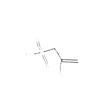 C=C(Cl)CS(=O)(=O)O